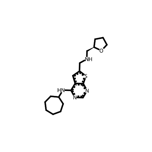 c1nc(NC2CCCCCC2)c2cc(CNC[C@H]3CCCO3)sc2n1